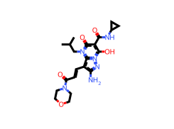 CC(C)Cn1c(=O)c(C(=O)NC2CC2)c(O)n2nc(N)c(/C=C/C(=O)N3CCOCC3)c12